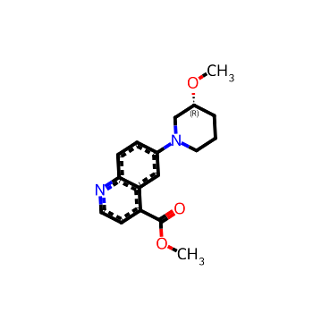 COC(=O)c1ccnc2ccc(N3CCC[C@@H](OC)C3)cc12